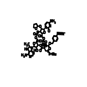 CC1Nc2c(N)ncnc2N1[C@@H]1O/C(=C\OP(=O)(O)O[C@H]2[C@@H](OC3CCCO3)[C@H](n3ccc(N)nc3=O)O[C@@H]2COP(=O)(O)O)C(OC(=O)[C@H](CSSC(C)(C)C)NC(=O)OCc2ccc(N=[N+]=[N-])cc2)[C@H]1O